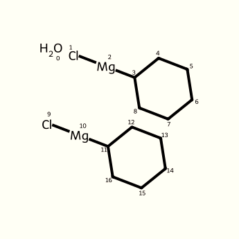 O.[Cl][Mg][CH]1CCCCC1.[Cl][Mg][CH]1CCCCC1